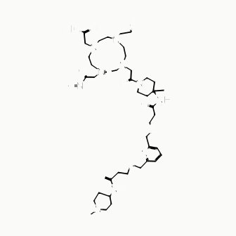 C=C(CCSCc1cccc(CSCCC(=O)NC2(C)CCN(C(=O)CN3CCN(CC=O)CCN(CC(=O)O)CCN(CC(=O)N=O)CC3)CC2)n1)NC1CCN(C)CC1